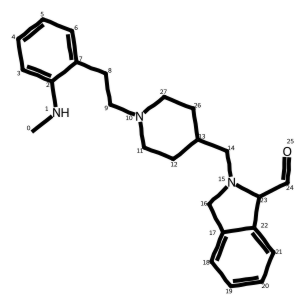 CNc1ccccc1CCN1CCC(CN2Cc3ccccc3C2C=O)CC1